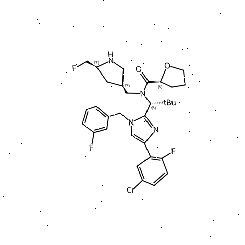 CC(C)(C)[C@H](c1nc(-c2cc(Cl)ccc2F)cn1Cc1cccc(F)c1)N(C[C@@H]1CN[C@H](CF)C1)C(=O)[C@@H]1CCCO1